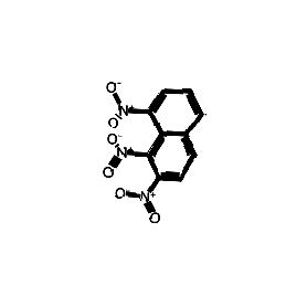 O=[N+]([O-])c1ccc2[c]ccc([N+](=O)[O-])c2c1[N+](=O)[O-]